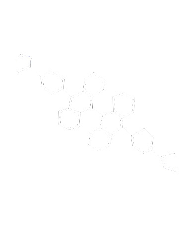 c1ccc2c(-c3c4ccccc4c(-c4ccc(-c5cscn5)cc4)c4ccccc34)c3ccccc3c(-c3ccc(-c4cscn4)cc3)c2c1